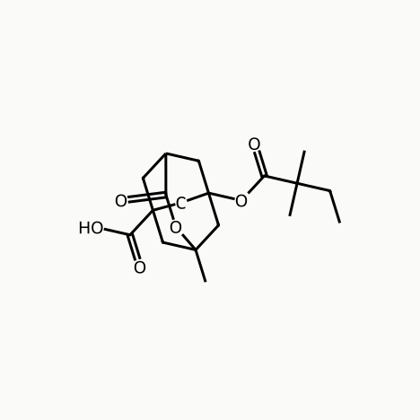 CCC(C)(C)C(=O)OC12CC3CC(C(=O)O)(CC(C)(C1)OC3=O)C2